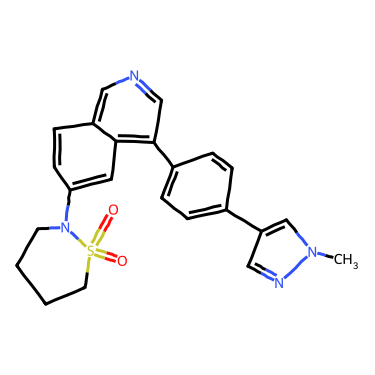 Cn1cc(-c2ccc(-c3cncc4ccc(N5CCCCS5(=O)=O)cc34)cc2)cn1